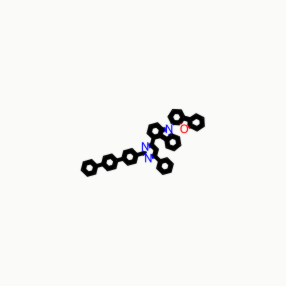 c1ccc(-c2ccc(-c3ccc(-c4nc(-c5ccccc5)cc(-c5cccc6c5c5ccccc5n6-c5cccc6c5oc5ccccc56)n4)cc3)cc2)cc1